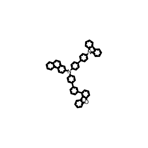 c1cc(-c2ccc(N(c3ccc(-c4ccc(-n5c6ccccc6c6ccccc65)cc4)cc3)c3ccc4c(ccc5ccccc54)c3)cc2)cc(-c2cccc3oc4ccccc4c23)c1